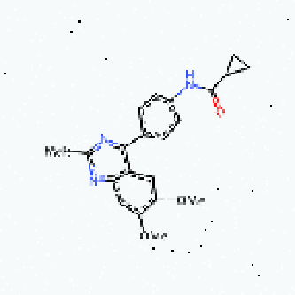 CNc1nc(-c2ccc(NC(=O)C3CC3)cc2)c2cc(OC)c(OC)cc2n1